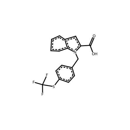 O=C(O)c1cc2ccccc2n1Cc1ccc(SC(F)(F)F)cc1